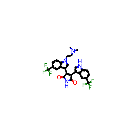 CN(C)CCn1cc(C2=C(c3c[nH]c4ccc(C(F)(F)F)cc34)C(=O)NC2=O)c2cc(C(F)(F)F)ccc21